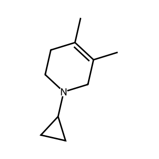 CC1=C(C)CN(C2CC2)CC1